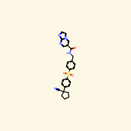 N#CC1(c2ccc(S(=O)(=O)c3ccc(CNC(=O)c4cnc5nccn5c4)cc3)cc2)CCCC1